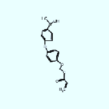 C=CC(=O)OCOc1ccc(Oc2ccc(B(O)O)cc2)cc1